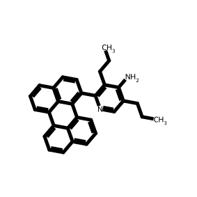 CCCc1cnc(-c2ccc3cccc4c5cccc6cccc(c2c34)c65)c(CCC)c1N